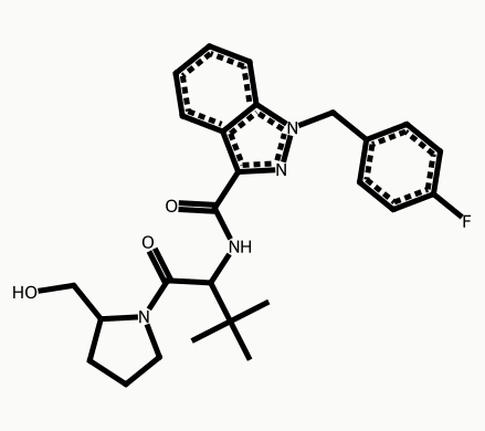 CC(C)(C)C(NC(=O)c1nn(Cc2ccc(F)cc2)c2ccccc12)C(=O)N1CCCC1CO